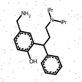 CC(C)N(CCC(c1ccccc1)c1cc(CN)ccc1O)C(C)C